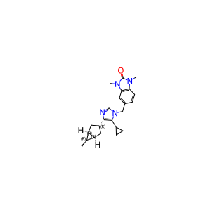 C[C@H]1[C@H]2C[C@H](c3ncn(Cc4ccc5c(c4)n(C)c(=O)n5C)c3C3CC3)C[C@@H]12